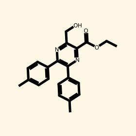 CCOC(=O)c1nc(-c2ccc(C)cc2)c(-c2ccc(C)cc2)nc1CO